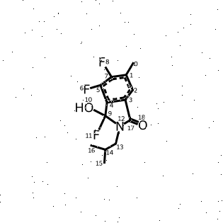 Cc1cc2c(c(F)c1F)C(O)(F)N(CC(C)C)C2=O